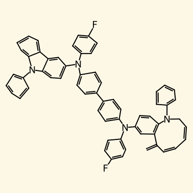 C=C1/C=C\C=C/CN(c2ccccc2)c2ccc(N(c3ccc(F)cc3)c3ccc(-c4ccc(N(c5ccc(F)cc5)c5ccc6c(c5)c5ccccc5n6-c5ccccc5)cc4)cc3)cc21